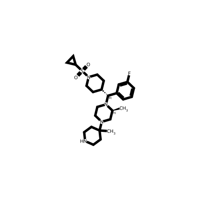 C[C@H]1CN(C2(C)CCNCC2)CCN1[C@@H](c1cccc(F)c1)C1CCN(S(=O)(=O)C2CC2)CC1